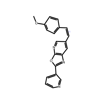 COc1ccc(/C=C\c2cnc3oc(-c4cccnc4)nc3c2)cc1